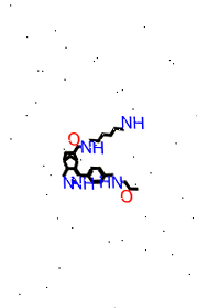 CC(=O)CNCc1ccc(C2=C3C(C=NN2)C2CC(C(=O)NCCCCCC=N)C3C2)cc1